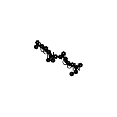 c1ccc(-c2cccc(-c3nc(-c4ccccc4)nc(-c4ccc5c(c4)oc4cc6oc7cc(-n8c9ccccc9c9cc(-c%10ccc(-c%11nc(-c%12ccc%13c(c%12)oc%12c%13ccc%13c%14ccc(-n%15c%16ccccc%16c%16ccccc%16%15)cc%14oc%13%12)nc(-c%12ccccc%12-c%12ccccc%12)n%11)cc%10)ccc98)ccc7c6cc45)n3)c2)cc1